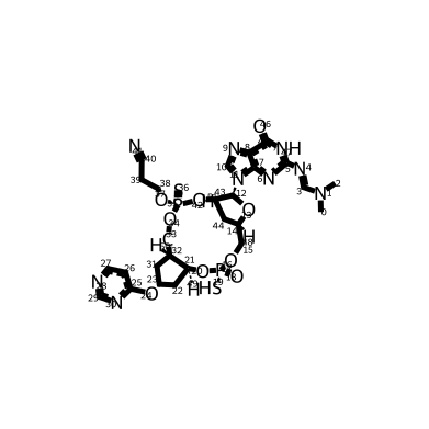 CN(C)C=Nc1nc2c(ncn2[C@@H]2O[C@@H]3CO[P@](=O)(S)O[C@H]4C[C@H](Oc5ccncn5)C[C@@H]4CO[P@@](=S)(OCCC#N)O[C@@H]2C3)c(=O)[nH]1